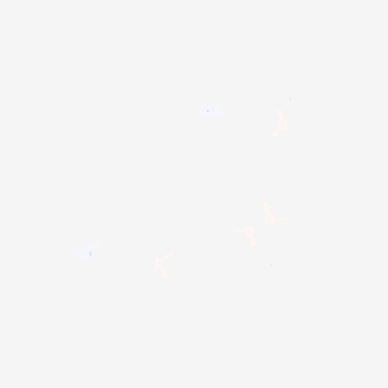 COc1cc(OC)cc(-c2c(N)ccc(-c3ccc(N)cc3)c2-c2cc(OC)cc(OC)c2)c1